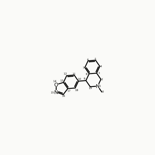 CN1Cc2ccccc2C(c2ccc3oncc3c2)C1